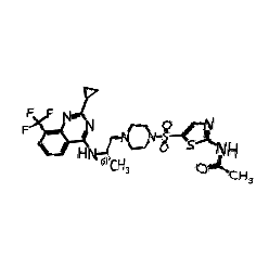 CC(=O)Nc1ncc(S(=O)(=O)N2CCN(C[C@H](C)Nc3nc(C4CC4)nc4c(C(F)(F)F)cccc34)CC2)s1